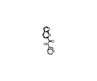 O=C(NC1CN2CCC1C2)c1ccc2ccsc2n1